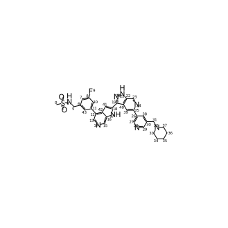 CS(=O)(=O)NCc1cc(F)cc(-c2cncc3[nH]c(-c4n[nH]c5cnc(-c6cncc(CN7CCCCC7)c6)cc45)cc23)c1